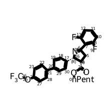 CCCCCOC(=O)[C@H]1CC(c2c(F)cccc2F)=N[C@H]1c1ccc(-c2ccc(OC(F)(F)F)cc2)cc1